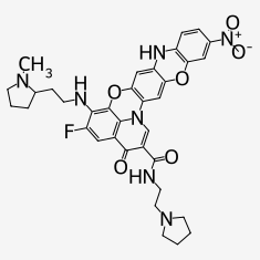 CN1CCCC1CCNc1c(F)cc2c(=O)c(C(=O)NCCN3CCCC3)cn3c4cc5oc6cc([N+](=O)[O-])ccc6[nH]c5cc4oc1c23